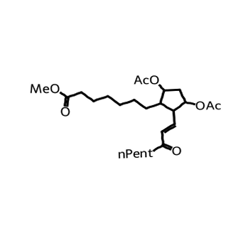 CCCCCC(=O)C=CC1C(OC(C)=O)CC(OC(C)=O)C1CCCCCCC(=O)OC